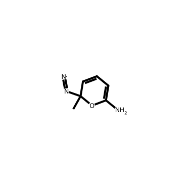 CC1(N=[N])C=CC=C(N)O1